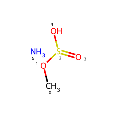 COS(=O)O.N